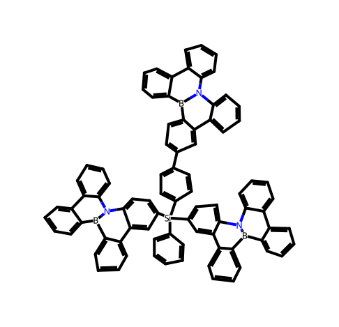 c1ccc([Si](c2ccc(-c3ccc4c(c3)-c3ccccc3N3B4c4ccccc4-c4ccccc43)cc2)(c2ccc3c(c2)-c2ccccc2B2c4ccccc4-c4ccccc4N23)c2ccc3c(c2)-c2ccccc2B2c4ccccc4-c4ccccc4N23)cc1